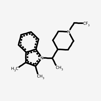 Cc1c(C)n(C(C)C2CCN(CC(F)(F)F)CC2)c2ccccc12